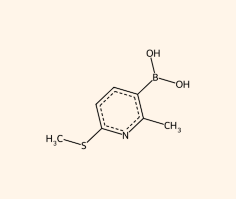 CSc1ccc(B(O)O)c(C)n1